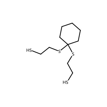 SCCSC1(SCCS)CCCCC1